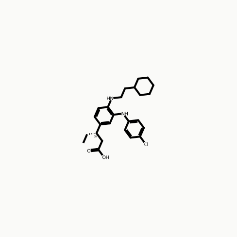 CC[C@@H](CC(=O)O)c1ccc(NCCC2CCCCC2)c(Nc2ccc(Cl)cc2)c1